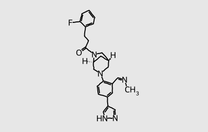 C/N=C\c1cc(-c2cn[nH]c2)ccc1N1C[C@@H]2C[C@@H](C1)N(C(=O)CCc1ccccc1F)C2